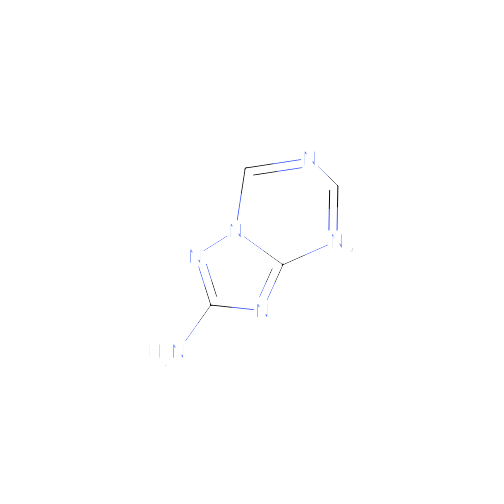 Nc1nc2ncncn2n1